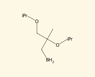 BCC(C)(COC(C)C)OC(C)C